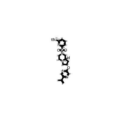 C=C(C)c1cnc(O[C@H]2C[C@H]3CN(S(=O)(=O)c4cccc(C(C)(C)C)n4)CCN3C2)cn1